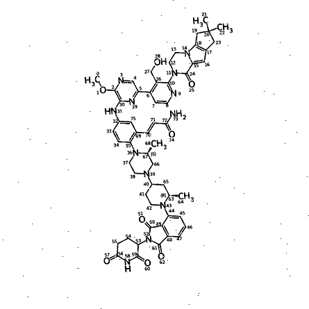 COc1ncc(-c2ccnc(N3CCn4c(cc5c4CC(C)(C)C5)C3=O)c2CO)nc1Nc1ccc(N2CCN(C3CCN(c4cccc5c4C(=O)N(C4CCC(=O)NC4=O)C5=O)[C@H](C)C3)C[C@@H]2C)c(C=CC(N)=O)c1